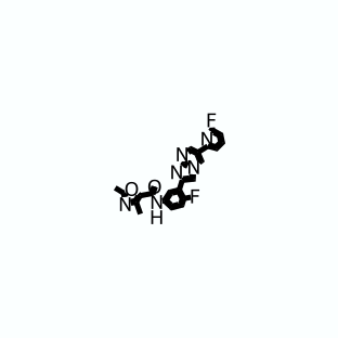 Cc1nc(C)c(C(=O)Nc2ccc(F)c(-c3cn4cc(-c5cccc(F)n5)cnc4n3)c2)o1